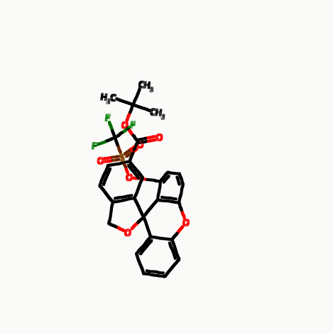 CC(C)(C)OC(=O)c1ccc2c(c1)C1(OC2)c2ccccc2Oc2cccc(OS(=O)(=O)C(F)(F)F)c21